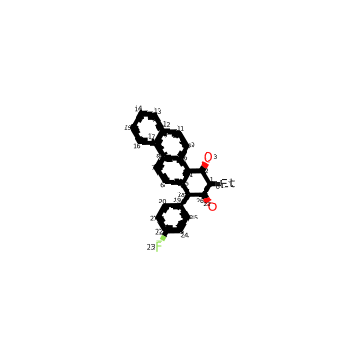 CCC1C(=O)c2c(ccc3c2ccc2ccccc23)C(c2ccc(F)cc2)C1=O